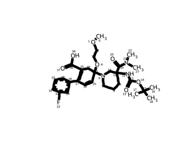 COCCOC1(N2CCCC(NC(=O)OC(C)(C)C)(C(=O)N(C)C)C2)C=CC(c2cccc(F)c2)=C(C(=O)O)C1